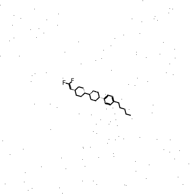 CCCCCc1ccc([C@H]2CC[C@H]([C@H]3CC[C@H](C=C(F)F)CC3)CC2)cc1